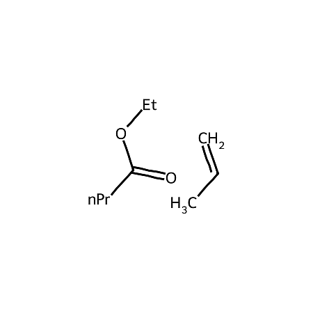 C=CC.CCCC(=O)OCC